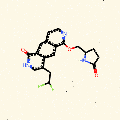 O=C1CCC(COc2nccc3cc4c(=O)[nH]cc(CC(F)F)c4cc23)N1